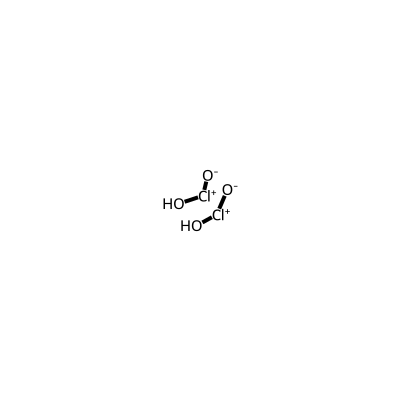 [O-][Cl+]O.[O-][Cl+]O